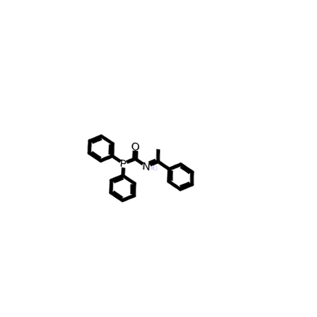 C/C(=N\C(=O)P(c1ccccc1)c1ccccc1)c1ccccc1